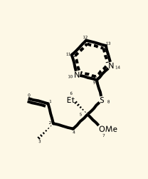 C=C[C@@H](C)C[C@](CC)(OC)Sc1ncccn1